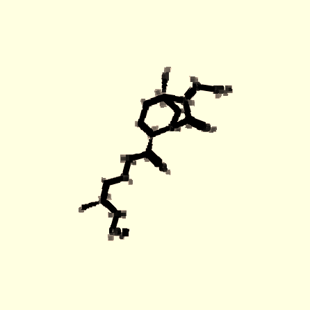 C[C@H](CONC(=O)[C@@H]1CC[C@@H]2CN1C(=O)N2OS(=O)(=O)O)NC(=O)O